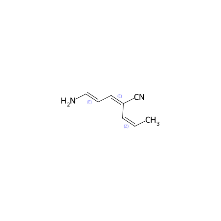 C\C=C/C(C#N)=C\C=C\N